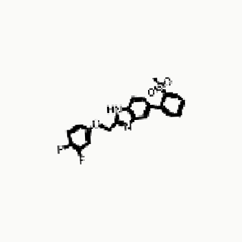 CS(=O)(=O)c1ccccc1-c1ccc2[nH]c(COc3ccc(F)c(F)c3)nc2c1